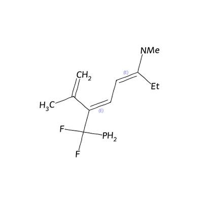 C=C(C)/C(=C\C=C(/CC)NC)C(F)(F)P